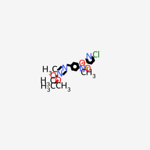 C[C@H]1CN(Cc2ccc(N(C)S(=O)(=O)c3ccc(Cl)nc3)cc2)CCN1C(=O)OC(C)(C)C